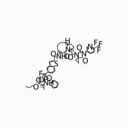 CCCOC(=O)[C@H](C)NP(=O)(Oc1ccccc1)[C@@H](F)c1ccc2sc(C(=O)N[C@H]3CCCC[C@H]4CC[C@@H](C(=O)N5C(=O)N(c6ccc(C(F)(F)F)nc6)C(=O)C56CC6)N4C3=O)cc2c1